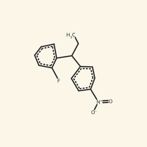 CC[C](c1ccc([N+](=O)[O-])cc1)c1ccccc1F